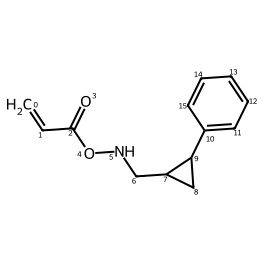 C=CC(=O)ONCC1CC1c1ccccc1